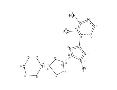 CC(C)n1nc(-c2ccnc(N)c2C(F)(F)F)nc1[C@@H]1CC[C@H](N2CCOCC2)C1